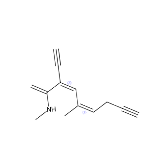 C#CC/C=C(C)\C=C(\C#C)C(=C)NC